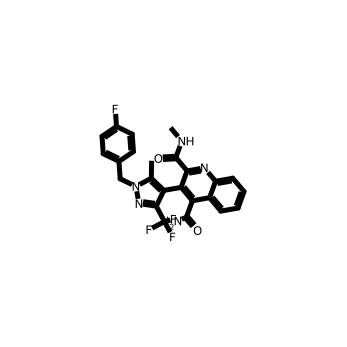 CNC(=O)c1nc2ccccc2c(C(N)=O)c1-c1c(C(F)(F)F)nn(Cc2ccc(F)cc2)c1C